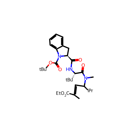 CCOC(=O)/C(C)=C/C(C(C)C)N(C)C(=O)[C@@H](NC(=O)[C@@H]1Cc2ccccc2N1C(=O)OC(C)(C)C)C(C)(C)C